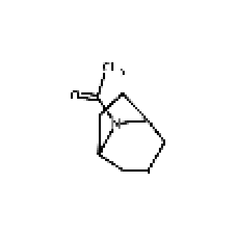 CC(=O)N1C2C[CH]CC1CC2